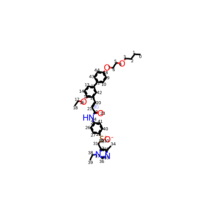 CCCCOCCOc1ccc(-c2ccc(OCC)c(/C=C/C(=O)Nc3ccc([S@+]([O-])Cc4c(C)ncn4CC)cc3)c2)cc1